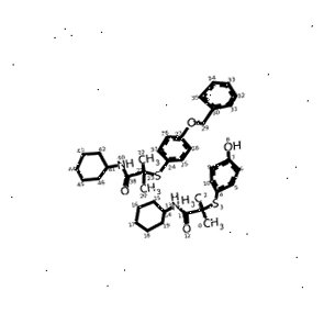 CC(C)(Sc1ccc(O)cc1)C(=O)NC1CCCCC1.CC(C)(Sc1ccc(OCc2ccccc2)cc1)C(=O)NC1CCCCC1